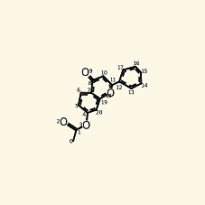 CC(=O)Oc1ccc2c(=O)cc(-c3ccccc3)oc2c1